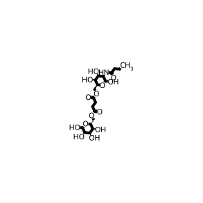 CCCC(=O)N[C@H]1C(O)O[C@@H](COC(=O)CCC(=O)OC[C@H]2OC(O)[C@H](O)[C@@H](O)[C@@H]2O)[C@@H](O)[C@@H]1O